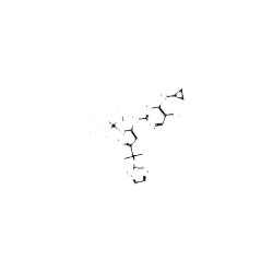 BC(B)(B)n1nc(C(C)(C)n2nccn2)cc1Nc1ncc(Br)c(NC2CC2)n1